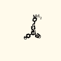 COc1ccc(-c2cc(N3CCOCC3)nc(N3CCN(CCC4CCC(N)CC4)CC3)c2)cc1